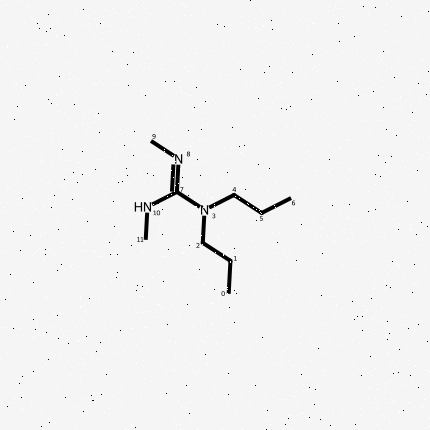 CCCN(CCC)/C(=N/C)NC